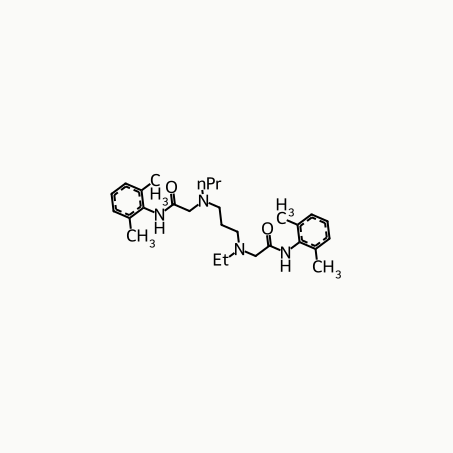 CCCN(CCCN(CC)CC(=O)Nc1c(C)cccc1C)CC(=O)Nc1c(C)cccc1C